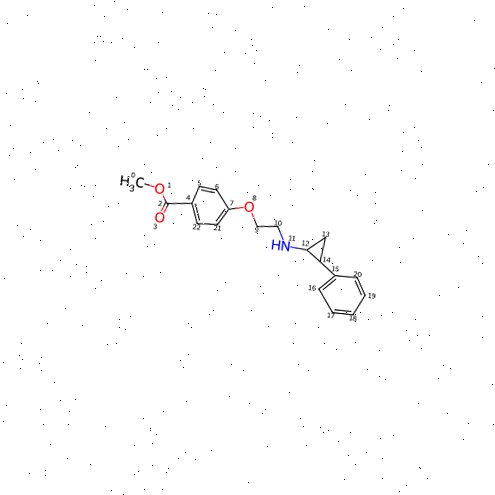 COC(=O)c1ccc(OCCNC2CC2c2ccccc2)cc1